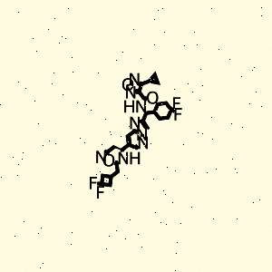 N#CC[C@H](NC(=O)CC1CC(F)(F)C1)c1cnn2cc(C(NC(=O)c3nonc3C3CC3)C3CCC(F)(F)CC3)nc2c1